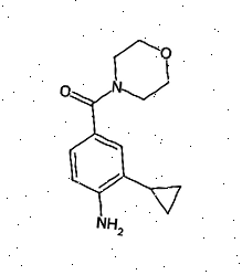 Nc1ccc(C(=O)N2CCOCC2)cc1C1CC1